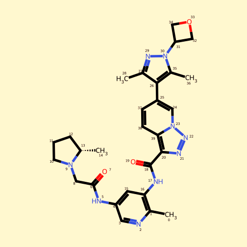 Cc1ncc(NC(=O)CN2CCC[C@@H]2C)cc1NC(=O)c1nnn2cc(-c3c(C)nn(C4COC4)c3C)ccc12